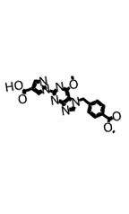 COC(=O)c1ccc(Cn2cnc3nc(-n4cc(C(=O)O)cn4)nc(OC)c32)cc1